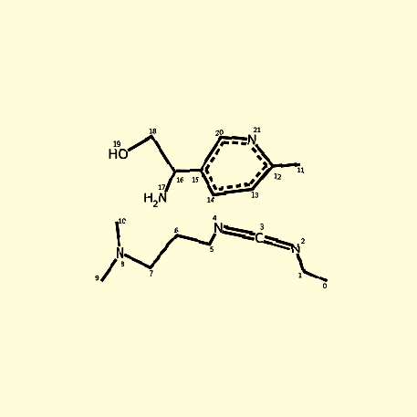 CCN=C=NCCCN(C)C.Cc1ccc(C(N)CO)cn1